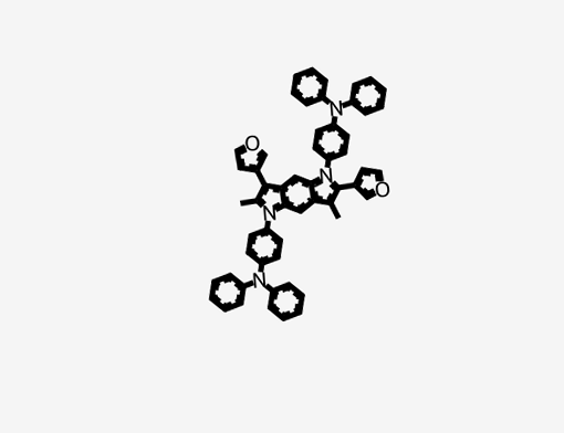 Cc1c(-c2ccoc2)n(-c2ccc(N(c3ccccc3)c3ccccc3)cc2)c2cc3c(-c4ccoc4)c(C)n(-c4ccc(N(c5ccccc5)c5ccccc5)cc4)c3cc12